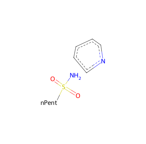 CCCCCS(N)(=O)=O.c1ccncc1